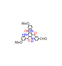 COc1ccc2[nH]c3c4c(=O)c5cc(C=O)ccc5[nH]c4c4c(=O)c5cc(OC)ccc5[nH]c4c3c(=O)c2c1